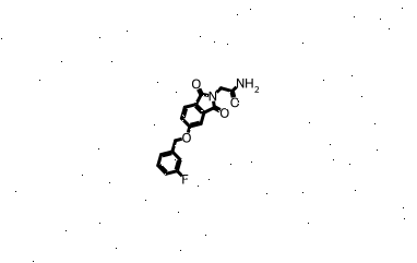 NC(=O)CN1C(=O)c2ccc(OCc3cccc(F)c3)cc2C1=O